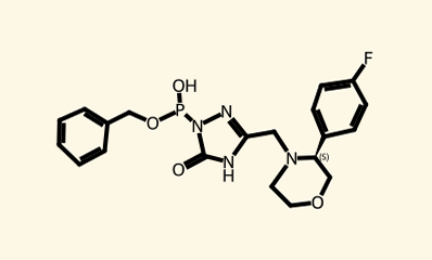 O=c1[nH]c(CN2CCOC[C@@H]2c2ccc(F)cc2)nn1P(O)OCc1ccccc1